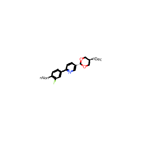 CCCCCCCCCC[C@H]1CO[C@H](c2ccc(-c3ccc(CCCCCCCCC)c(F)c3)nc2)OC1